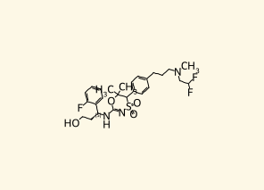 CN(CCCc1ccc(C2C(C)(C)OC(N[C@@H](CCO)c3ccccc3F)=NS2(=O)=O)cc1)CC(F)F